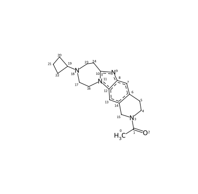 CC(=O)N1CCc2cc3nc4n(c3cc2C1)CCN(C1CCC1)CC4